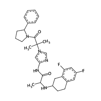 CC(NC1CCc2cc(F)cc(F)c2C1)C(=O)Nc1cn(C(C)(C)C(=O)N2CCCC2c2ccccc2)cn1